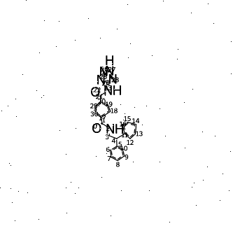 O=C(NCC(c1ccccc1)c1ccccc1)c1ccc(C(=O)Nc2nn[nH]n2)cc1